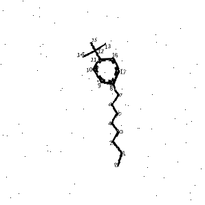 CCCCCCCCc1[c]cc(C(C)(C)C)cc1